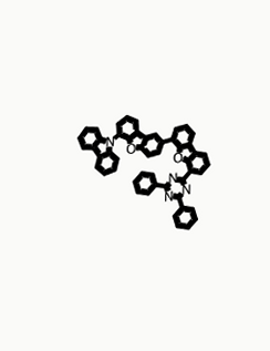 c1ccc(-c2nc(-c3ccccc3)nc(-c3cccc4c3oc3c(-c5ccc6oc7c(-n8c9ccccc9c9ccccc98)cccc7c6c5)cccc34)n2)cc1